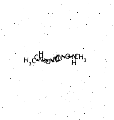 CNCCOCCN1CCN(CCOCCNCC(C)C)CC1